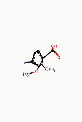 COc1c(I)ccc(C(=O)O)c1C